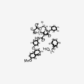 COc1ccc2c(Oc3ccc(NC(=O)c4c(C)n(C[C@@H](C)OC(=O)[C@H](C)N)n(-c5ccccc5)c4=O)nc3)ccnc2c1.O=C(O)c1ccccc1